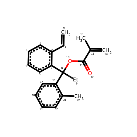 C=Cc1ccccc1C(CC)(OC(=O)C(=C)C)c1ccccc1C